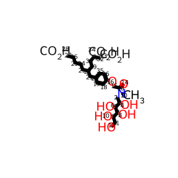 CN(CC(O)C(O)C(O)C(O)CO)C(=O)COc1ccc(CC(CCCCCC(=O)O)CCC(CC(=O)O)C(=O)O)cc1